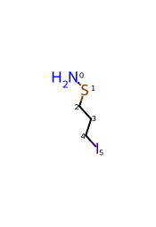 NSCCCI